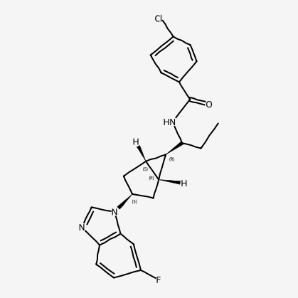 CCC(NC(=O)c1ccc(Cl)cc1)[C@H]1[C@@H]2C[C@@H](n3cnc4ccc(F)cc43)C[C@@H]21